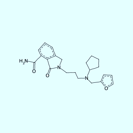 NC(=O)c1cccc2c1C(=O)N(CCCN(Cc1ccco1)C1CCCC1)C2